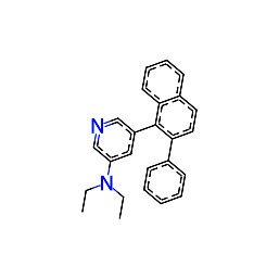 CCN(CC)c1cncc(-c2c(-c3ccccc3)ccc3ccccc23)c1